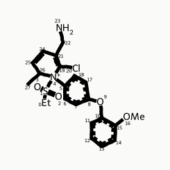 CCS(=O)(=O)[N+]1(c2ccc(Oc3ccccc3OC)cc2)C(Cl)=C(CN)C=CC1C